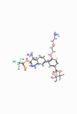 CC1(C)OB(c2ccc(OCCOCCN)c(-c3ccc4c(N)c(OC(=O)C(F)(F)F)nnc4c3)c2)OC1(C)C